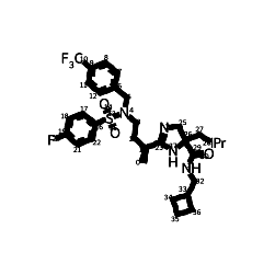 C=C(CCN(Cc1ccc(C(F)(F)F)cc1)S(=O)(=O)c1ccc(F)cc1)C1=NCC(CC(C)C)(C(=O)NCC2CCC2)N1